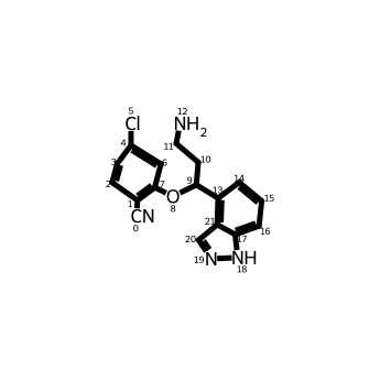 N#Cc1ccc(Cl)cc1OC(CCN)c1cccc2[nH]ncc12